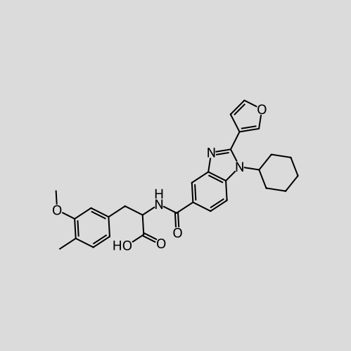 COc1cc(CC(NC(=O)c2ccc3c(c2)nc(-c2ccoc2)n3C2CCCCC2)C(=O)O)ccc1C